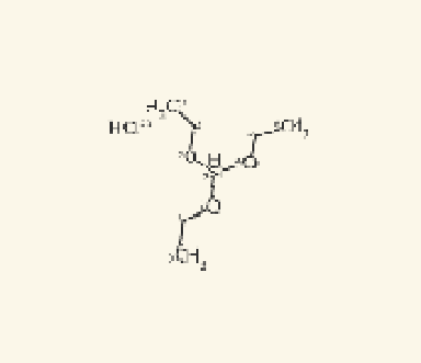 CCO[SiH](OCC)OCC.Cl